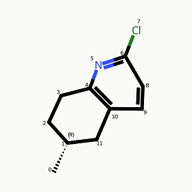 C[C@@H]1CCc2nc(Cl)ccc2C1